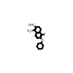 CC1=C(C=O)CCc2c1ccc(OC1CCCCC1)c2F